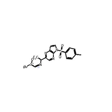 Cc1ccc(S(=O)(=O)n2ccc3nc(C(/N=C\[S+]([O-])C(C)(C)C)C(F)(F)F)cnc32)cc1